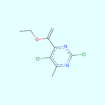 C=C(OCC)c1nc(Cl)nc(C)c1Cl